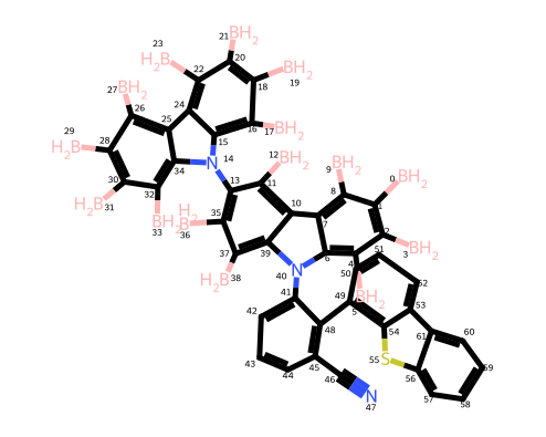 Bc1c(B)c(B)c2c(c1B)c1c(B)c(-n3c4c(B)c(B)c(B)c(B)c4c4c(B)c(B)c(B)c(B)c43)c(B)c(B)c1n2-c1cccc(C#N)c1-c1cccc2c1sc1ccccc12